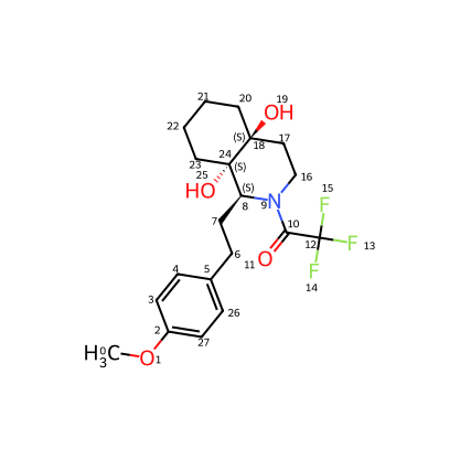 COc1ccc(CC[C@@H]2N(C(=O)C(F)(F)F)CC[C@@]3(O)CCCC[C@]23O)cc1